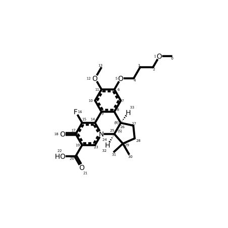 COCCCOc1cc2c(cc1OC)-c1c(F)c(=O)c(C(=O)O)cn1[C@H]1[C@@H]2CCC1(C)C